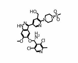 COc1cc2[nH]nc(-c3cnc(N4CCN(S(C)(=O)=O)CC4)c(CO)c3)c2cc1O[C@H](N)c1c(Cl)cnc(C)c1Cl